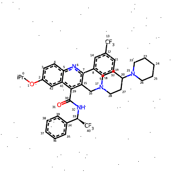 CC(C)Oc1ccc2nc(-c3cccc(C(F)(F)F)c3)c(CN3CCC(N4CCCCC4)CC3)c(C(=O)N[C@H](c3ccccc3)C(F)(F)F)c2c1